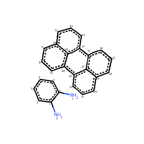 Nc1ccccc1N.c1cc2cccc3c4cccc5cccc(c(c1)c23)c54